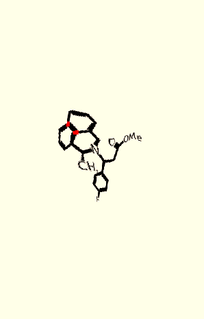 COC(=O)CC(c1ccc(F)cc1)N(Cc1ccccc1)[C@@H](C)c1ccccc1